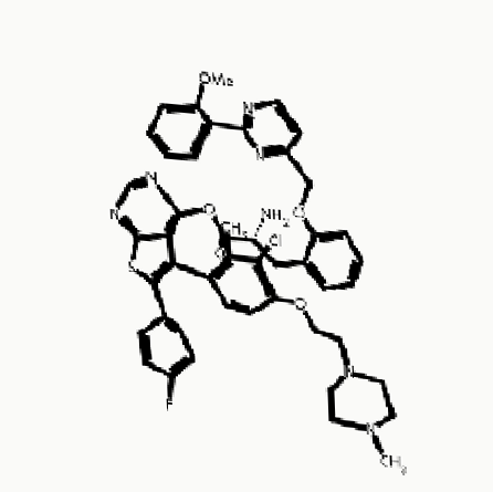 COc1ccccc1-c1nccc(COc2ccccc2C[C@@H](N)C(=O)Oc2ncnc3sc(-c4ccc(F)cc4)c(-c4ccc(OCCN5CCN(C)CC5)c(Cl)c4C)c23)n1